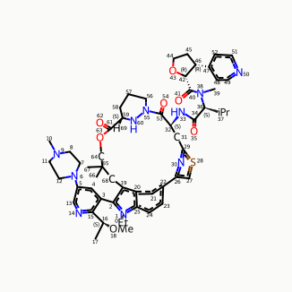 CCn1c(-c2cc(N3CCN(C)CC3)cnc2[C@H](C)OC)c2c3cc(ccc31)-c1csc(n1)C[C@H](NC(=O)[C@H](C(C)C)N(C)C(=O)[C@@H]1OCC[C@@H]1c1ccncc1)C(=O)N1CCC[C@H](N1)C(=O)OCC(C)(C)C2